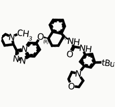 CN1CCCC1c1nnc2ccc(O[C@@H]3CC[C@H](NC(=O)Nc4cc(N5CCOCC5)cc(C(C)(C)C)c4)c4ccccc43)cn12